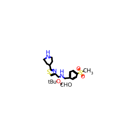 CC(C)(C)OC=O.CS(=O)(=O)c1ccc(CNCc2csc(C3CCNCC3)n2)cc1